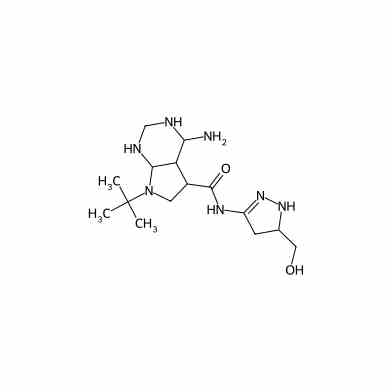 CC(C)(C)N1CC(C(=O)NC2=NNC(CO)C2)C2C(N)NCNC21